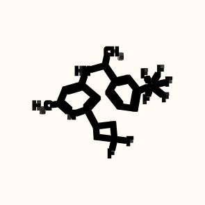 Cc1cc(NC(C)c2cccc(S(F)(F)(F)(F)F)c2)cc(C2CC(F)(F)C2)n1